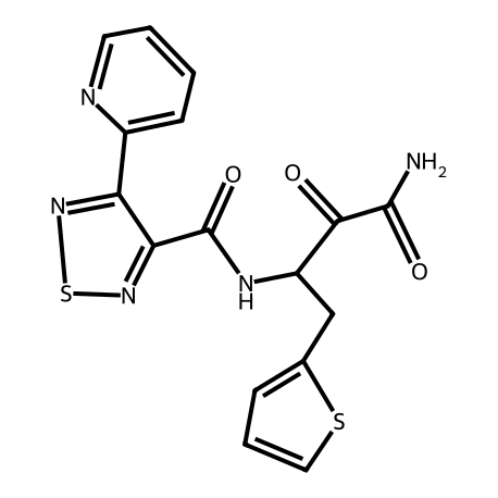 NC(=O)C(=O)C(Cc1cccs1)NC(=O)c1nsnc1-c1ccccn1